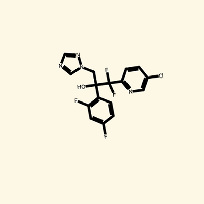 OC(Cn1cncn1)(c1ccc(F)cc1F)C(F)(F)c1ccc(Cl)cn1